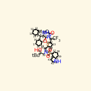 COC(=O)N(C(=O)[C@@H](N)C(c1ccccc1)c1ccccc1)[C@H](c1ccc([C@@H](CO)N(CCC(C)(C)C)S(=O)(=O)c2cccc3[nH]ccc23)s1)C(F)(F)F